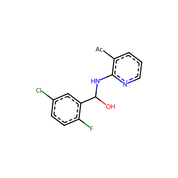 CC(=O)c1cccnc1NC(O)c1cc(Cl)ccc1F